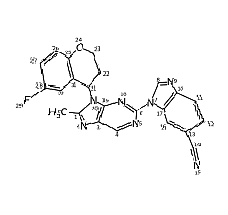 Cc1nc2cnc(-n3cnc4ccc(C#N)cc43)nc2n1C1CCOc2ccc(F)cc21